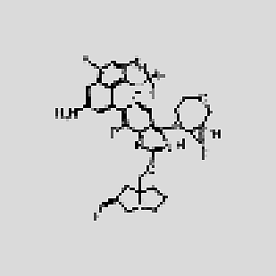 [2H]C([2H])([2H])Oc1c(F)cc(F)c2cc(N)cc(-c3ncc4c(N5CCOC[C@H]6[C@H](F)[C@H]65)nc(OC[C@@]56CCCN5C/C(=C\F)C6)nc4c3F)c12